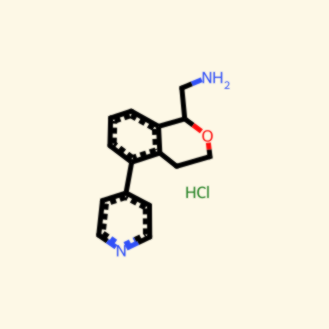 Cl.NCC1OCCc2c(-c3ccncc3)cccc21